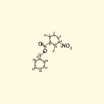 Cc1ccc([N+](=O)[O-])c(C)c1C(=O)OCc1ccccc1